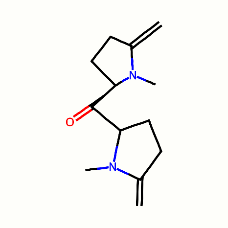 C=C1CCC(C(=O)C2CCC(=C)N2C)N1C